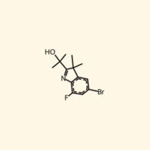 CC(C)(O)C1=Nc2c(F)cc(Br)cc2C1(C)C